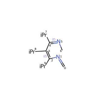 C=N/C(=C(\C(=N/C)C(C)C)C(C)C)C(C)C